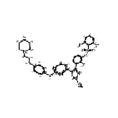 CC(C)(C)c1nc(-c2cccc(NS(=O)(=O)c3c(F)cccc3F)c2F)c(-c2ccnc(Nc3ccc(SCCN4CCCCC4)cc3)n2)s1